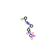 O=C1CCC(N2Cc3cc(C[C@H]4CCCC[C@@H]4N4CC5(CN(Cc6ccccc6Cl)C5)C4)ccc3C2=O)C(=O)N1